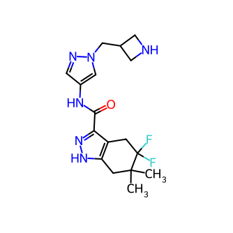 CC1(C)Cc2[nH]nc(C(=O)Nc3cnn(CC4CNC4)c3)c2CC1(F)F